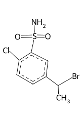 CC(Br)c1ccc(Cl)c(S(N)(=O)=O)c1